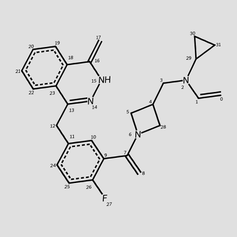 C=CN(CC1CN(C(=C)c2cc(CC3=NNC(=C)c4ccccc43)ccc2F)C1)C1CC1